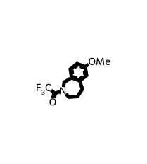 COc1ccc2c(c1)CCCN(C(=O)C(F)(F)F)C2